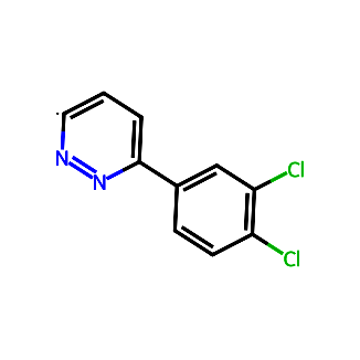 Clc1ccc(-c2cc[c]nn2)cc1Cl